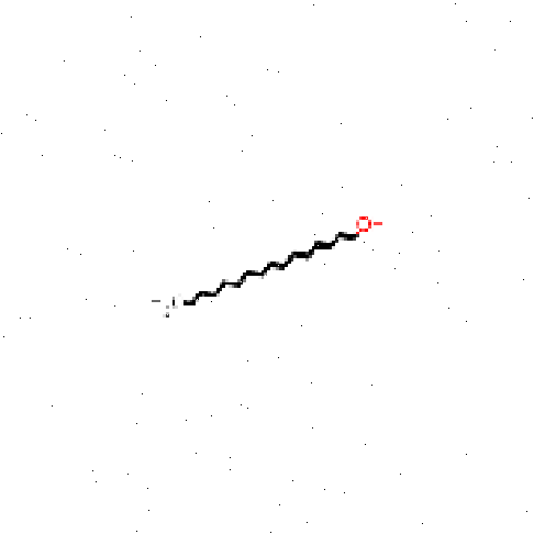 CCCCCCCC/C=C/C=C/C=C/C=C/O